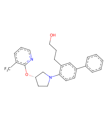 OCCCc1cc(-c2ccccc2)ccc1N1CC[C@H](Oc2ncccc2C(F)(F)F)C1